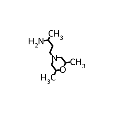 CC(N)CCN1CC(C)OC(C)C1